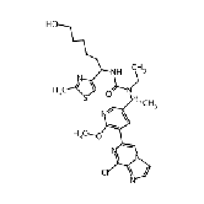 CCN(C(=O)NC(CCCCCO)c1csc(C)n1)[C@H](C)c1cnc(OC)c(-c2cn3ccnc3c(Cl)n2)c1